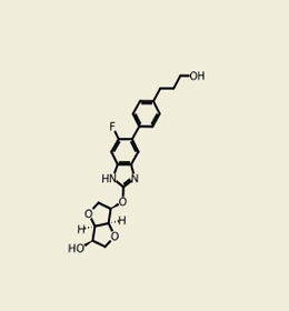 OCCCc1ccc(-c2cc3nc(O[C@@H]4CO[C@H]5[C@@H]4OC[C@H]5O)[nH]c3cc2F)cc1